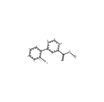 C=C(OCC)c1cc(-c2ccccc2F)ncn1